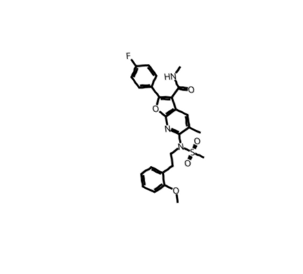 CNC(=O)c1c(-c2ccc(F)cc2)oc2nc(N(CCc3ccccc3OC)S(C)(=O)=O)c(C)cc12